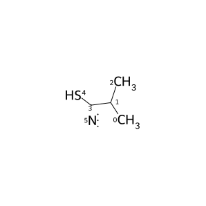 CC(C)CS.[N]